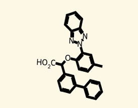 Cc1ccc(OC(C(=O)O)c2cccc(-c3ccccc3)c2)c(-n2nc3ccccc3n2)c1